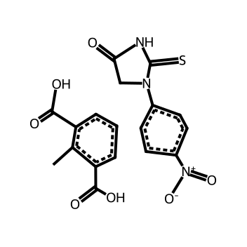 Cc1c(C(=O)O)cccc1C(=O)O.O=C1CN(c2ccc([N+](=O)[O-])cc2)C(=S)N1